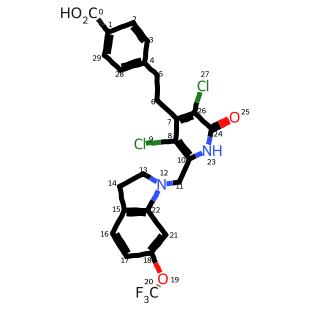 O=C(O)c1ccc(CCc2c(Cl)c(CN3CCc4ccc(OC(F)(F)F)cc43)[nH]c(=O)c2Cl)cc1